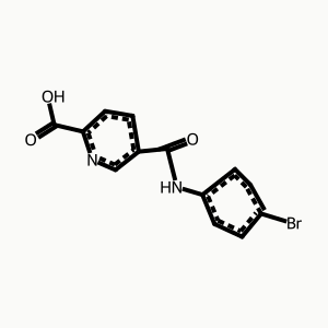 O=C(Nc1ccc(Br)cc1)c1ccc(C(=O)O)nc1